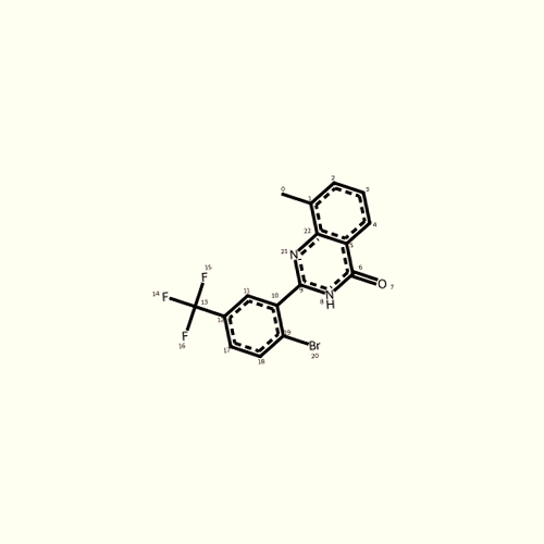 Cc1cccc2c(=O)[nH]c(-c3cc(C(F)(F)F)ccc3Br)nc12